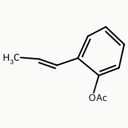 CC=Cc1ccccc1OC(C)=O